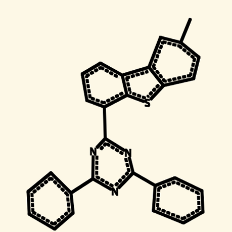 Cc1ccc2sc3c(-c4nc(-c5ccccc5)nc(-c5ccccc5)n4)cccc3c2c1